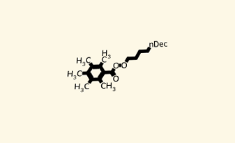 [CH2]CCCCCCCCCCCCCOOC(=O)c1c(C)c(C)c(C)c(C)c1C